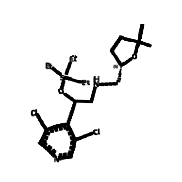 CC[Si](CC)(CC)OC(CNC[C@@H]1CCC(C)(C)O1)c1c(Cl)cncc1Cl